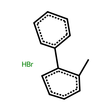 Br.Cc1ccccc1-c1ccccc1